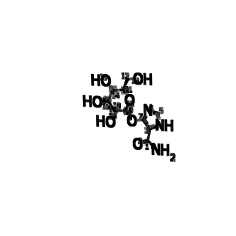 NC(=O)c1[nH]cnc1O[C@@H]1O[C@H](CO)[C@@H](O)[C@H](O)[C@H]1O